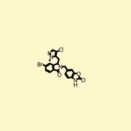 Cn1ncc(Cl)c1CC1c2cc(Br)ccc2C(=O)N1Cc1ccc2[nH]c(=O)oc2c1